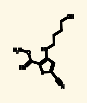 N#Cc1cc(NCCCCO)c(C(=N)ON)s1